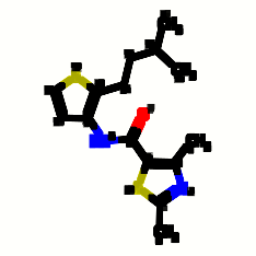 Cc1nc(C)c(C(=O)Nc2ccsc2CCC(C)C)s1